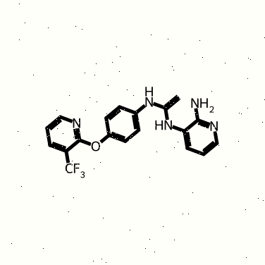 C=C(Nc1ccc(Oc2ncccc2C(F)(F)F)cc1)Nc1cccnc1N